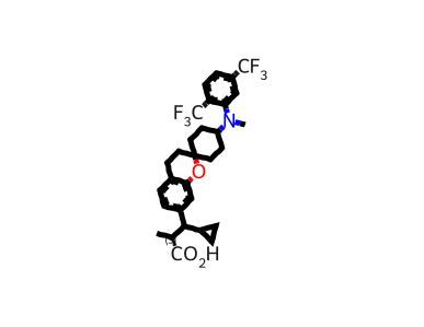 C[C@H](C(=O)O)C(c1ccc2c(c1)OC1(CC2)CCC(N(C)c2cc(C(F)(F)F)ccc2C(F)(F)F)CC1)C1CC1